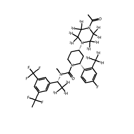 [2H]C([2H])([2H])c1cc(F)ccc1[C@H]1C[C@@H](N2C([2H])([2H])C([2H])([2H])N(C(C)=O)C([2H])([2H])C2([2H])[2H])CCN1C(=O)N(C)[C@@H](c1cc(C(C)(F)F)cc(C(F)(F)F)c1)C([2H])([2H])[2H]